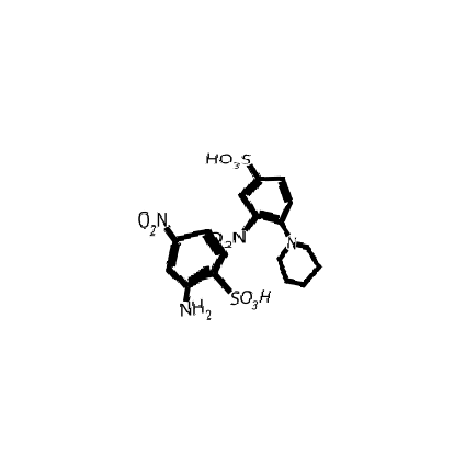 Nc1cc([N+](=O)[O-])ccc1S(=O)(=O)O.O=[N+]([O-])c1cc(S(=O)(=O)O)ccc1N1CCCCC1